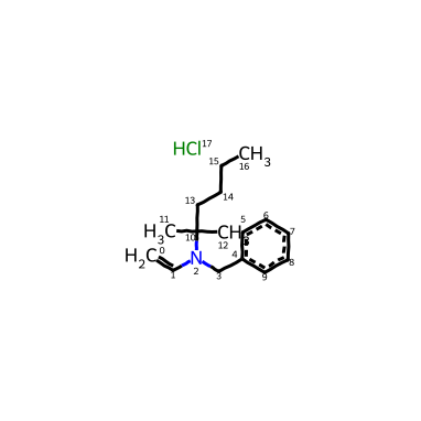 C=CN(Cc1ccccc1)C(C)(C)CCCC.Cl